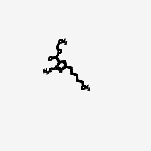 CCCCCCc1cc(C(=O)OCC)n(C)n1